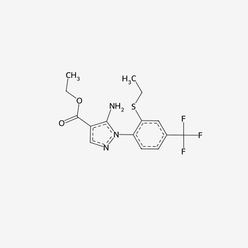 CCOC(=O)c1cnn(-c2ccc(C(F)(F)F)cc2SCC)c1N